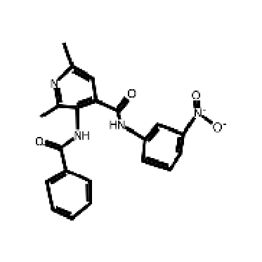 Cc1cc(C(=O)Nc2cccc([N+](=O)[O-])c2)c(NC(=O)c2ccccc2)c(C)n1